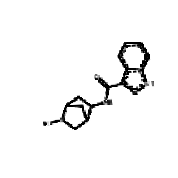 CCN1CC2CC1CC2NC(=O)c1n[nH]c2ccccc12